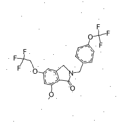 COc1cc(OCC(F)(F)F)cc2c1C(=O)N(Cc1ccc(OC(F)(F)F)cc1)C2